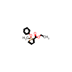 CCOC(=O)C1=CC=CS1(C)Oc1ccccc1